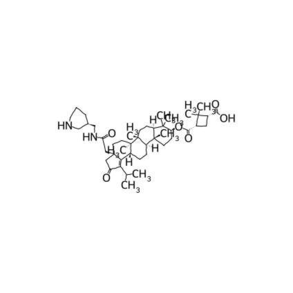 CC(C)C1=C2[C@H]3CC[C@@H]4[C@@]5(C)CC[C@H](OC(=O)[C@H]6C[C@@H](C(=O)O)C6(C)C)C(C)(C)[C@@H]5CC[C@@]4(C)[C@]3(C)CC[C@@]2(CC(=O)NC[C@@H]2CCCNC2)CC1=O